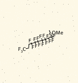 CO[Si](C)(C)C(F)(F)C(F)(F)C(F)(F)C(F)(F)C(F)(F)C(F)(F)C(F)(F)CCC(F)(F)F